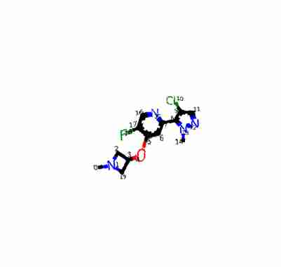 CN1CC(Oc2cc(-c3c(Cl)cnn3C)ncc2F)C1